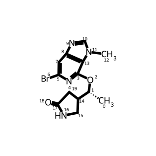 C[C@@H](Oc1nc(Br)cc2ncn(C)c12)C1CNC(=O)C1